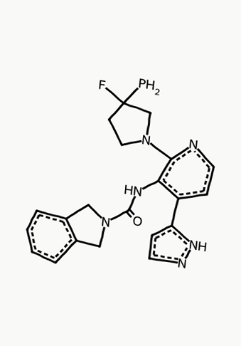 O=C(Nc1c(-c2ccn[nH]2)ccnc1N1CCC(F)(P)C1)N1Cc2ccccc2C1